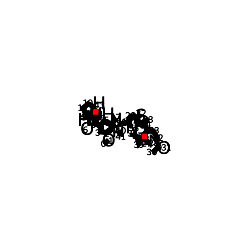 COc1cc(C(=O)N2C[C@H]3CC[C@@H]2[C@@H]3N)cc2nc(-c3cc4scc(C5CCN(C(C)=O)CC5)c4n3CC3CC3)n(C)c12